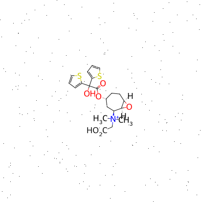 C[N+](C)(CC(=O)O)[C@H]1C[C@H](OC(=O)C(O)(c2cccs2)c2cccs2)CC[C@H]2O[C@H]21